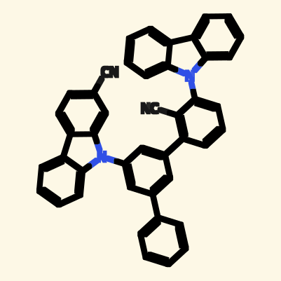 N#Cc1ccc2c3ccccc3n(-c3cc(-c4ccccc4)cc(-c4cccc(-n5c6ccccc6c6ccccc65)c4C#N)c3)c2c1